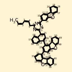 C/C=C\C=C/Cc1nc(-c2ccc3c(c2)oc2ccccc23)nc(-c2ccc(-c3cc(-c4cccc5oc6ccccc6c45)cc4oc5ccccc5c34)c3ccccc23)n1